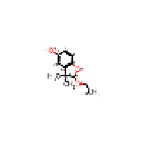 CCOC1Oc2ccc(O)cc2C1(C)C